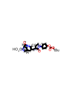 CC(C)(C)OC(=O)Oc1ccc(N2CC/C(=C\C3=C(C(=O)O)N4C(=O)[C@@H]5[C@H]4[C@H](C3)CN5C(=O)O)C2=O)cc1